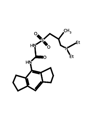 CCN(CC)CC(C)CS(=O)(=O)NC(=O)Nc1c2c(cc3c1CCC3)CCC2